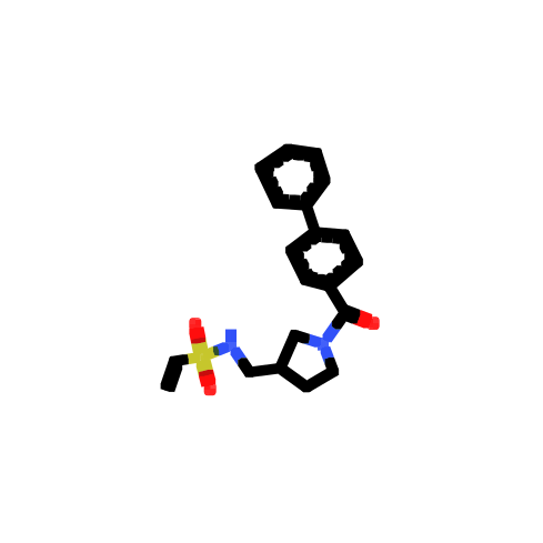 C=CS(=O)(=O)NCC1CCN(C(=O)c2ccc(-c3ccccc3)cc2)C1